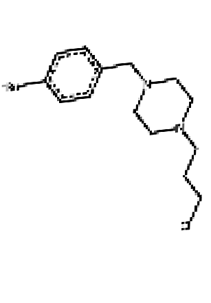 CC(C)(C)c1ccc(CN2CCN(CCCCl)CC2)cc1